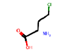 N.O=C(O)CCCCl